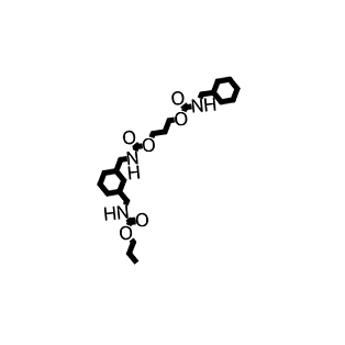 CCCOC(=O)NCC1CCCC(CNC(=O)OCCCOC(=O)NCC2CCCCC2)C1